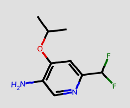 CC(C)Oc1cc(C(F)F)ncc1N